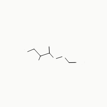 O=C(O)CSSC(S)C(O)CO